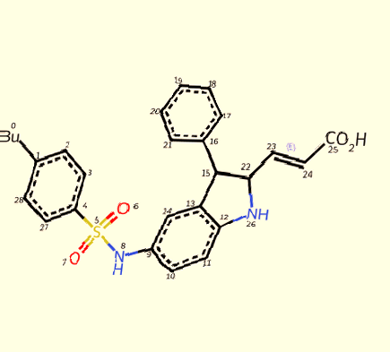 CC(C)(C)c1ccc(S(=O)(=O)Nc2ccc3c(c2)C(c2ccccc2)C(/C=C/C(=O)O)N3)cc1